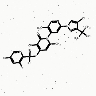 [2H]C([2H])(Oc1cc(C)n(-c2cc(-n3cc(Cl)c(C(C)(C)O)n3)ncc2C)c(=O)c1Cl)c1ncc(F)cc1F